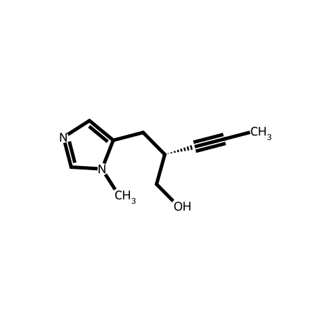 CC#C[C@H](CO)Cc1cncn1C